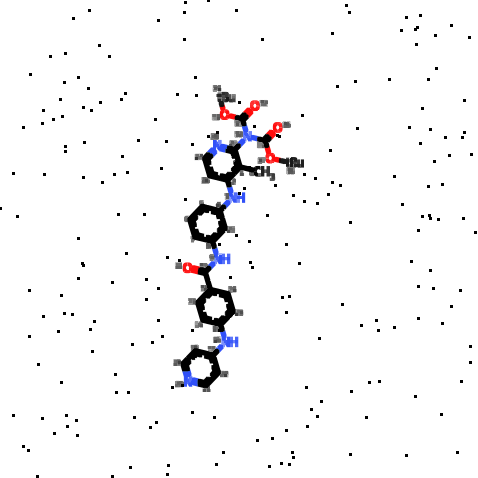 Cc1c(Nc2cccc(NC(=O)c3ccc(Nc4ccncc4)cc3)c2)ccnc1N(C(=O)OC(C)(C)C)C(=O)OC(C)(C)C